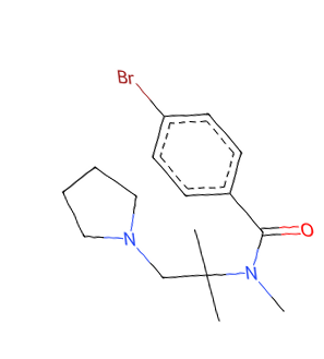 CN(C(=O)c1ccc(Br)cc1)C(C)(C)CN1CCCC1